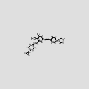 Oc1c(F)cc(C#Cc2ccc(N3CCCC3)cc2)cc1C=NN1CCN(C2CC2)CC1